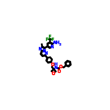 Cc1nc2ccc(C3=CC=C(OCC4(NC(=O)OCc5ccccc5)COC4)CC3)nn2c1-c1cnc(N)c(C(F)(F)F)c1